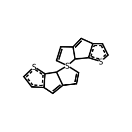 C1=CS2(C=CC3=Cc4ccsc4C32)C2C1=Cc1ccsc12